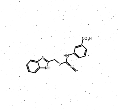 C=[N+]=C(Nc1cccc(C(=O)O)c1)SCc1nc2ccccc2[nH]1